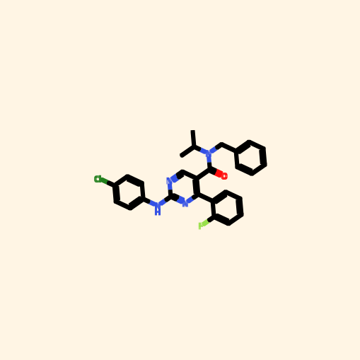 CC(C)N(Cc1ccccc1)C(=O)c1cnc(Nc2ccc(Cl)cc2)nc1-c1ccccc1F